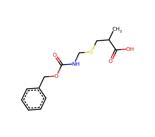 CC(CSCNC(=O)OCc1ccccc1)C(=O)O